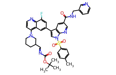 Cc1ccc(S(=O)(=O)n2cc(-c3cc(F)c4nccc(N5CCCC(C=NC(=O)OC(C)(C)C)C5)c4c3)c3cc(C(=O)NCc4cccnc4)cnc32)cc1